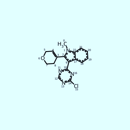 Cn1c(C2=CCOCC2)c(-c2ncnc(Cl)n2)c2ccccc21